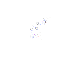 COC(=O)N[C@H](C(=O)N1[C@H](c2nc3cc([C@H]4CC[C@H](c5cc6nc([C@@H]7C[C@@H]8CCC[C@@H]8N7C(=O)[C@H]([C@@H](C)OC)N(C)C(=O)O)[nH]c6cc5F)N4c4cc(F)c(N5CCCCC5)c(F)c4)c(F)cc3[nH]2)C[C@@H]2CCC[C@@H]21)[C@@H](C)OC